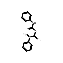 CC(OC(=O)Nc1ccccc1)N(C)c1ccccc1